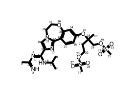 CC(=N)/N=C(\NC(C)C)c1cn2c(n1)-c1ccc(OC(C)(CCOS(C)(=O)=O)COS(C)(=O)=O)cc1OCC2